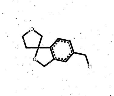 ClCc1ccc2c(c1)COC21CCOC1